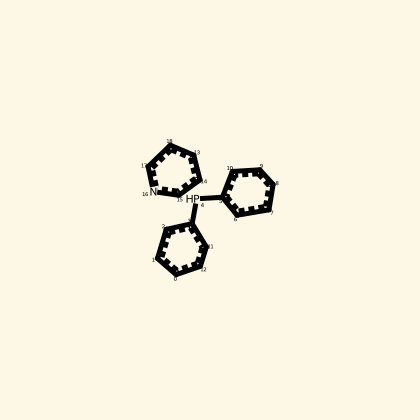 c1ccc(Pc2ccccc2)cc1.c1ccncc1